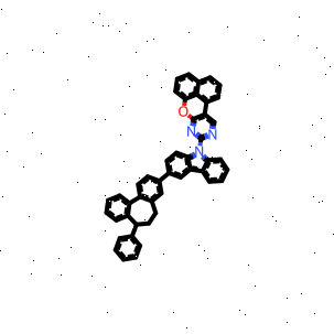 c1ccc(C2CCc3cc(-c4ccc5c(c4)c4ccccc4n5-c4ncc5c(n4)Oc4cccc6cccc-5c46)ccc3-c3ccccc32)cc1